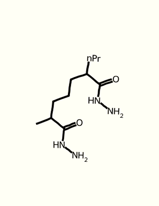 CCCC(CCCC(C)C(=O)NN)C(=O)NN